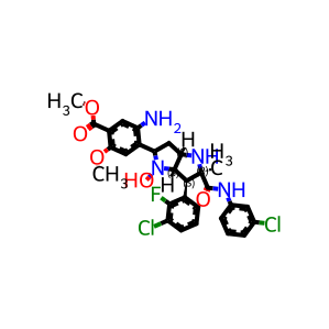 COC(=O)c1cc(N)c(C2C[C@@H]3N[C@@](C)(C(=O)Nc4cccc(Cl)c4)[C@@H](c4cccc(Cl)c4F)[C@@H]3N2O)cc1OC